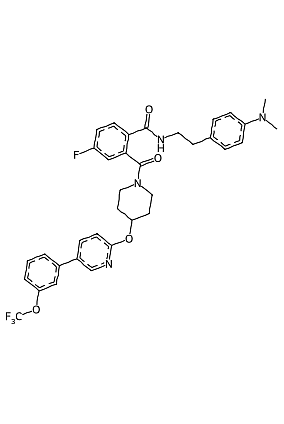 CN(C)c1ccc(CCNC(=O)c2ccc(F)cc2C(=O)N2CCC(Oc3ccc(-c4cccc(OC(F)(F)F)c4)cn3)CC2)cc1